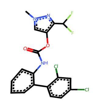 Cn1cc(OC(=O)Nc2ccccc2-c2ccc(Cl)cc2Cl)c(C(F)F)n1